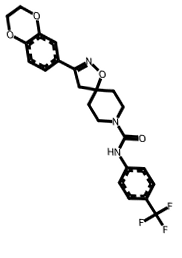 O=C(Nc1ccc(C(F)(F)F)cc1)N1CCC2(CC1)CC(c1ccc3c(c1)OCCO3)=NO2